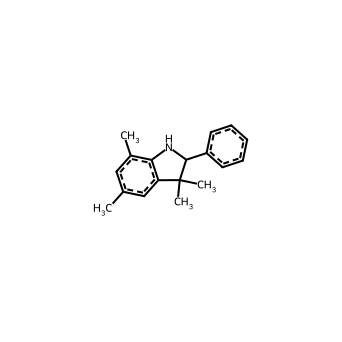 Cc1cc(C)c2c(c1)C(C)(C)C(c1ccccc1)N2